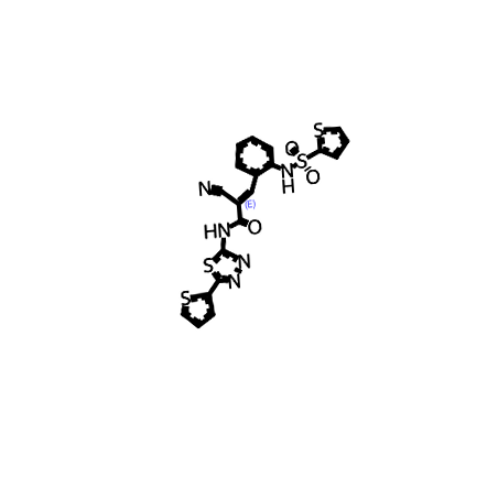 N#C/C(=C\c1ccccc1NS(=O)(=O)c1cccs1)C(=O)Nc1nnc(-c2cccs2)s1